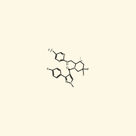 C[C@@H]1CC(F)(F)CN(C(=O)c2cn(C)nc2-c2ccc(F)cc2)C1CNc1ncc(C(F)(F)F)cn1